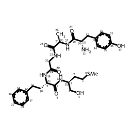 CSCC[C@@H](CO)NC(=O)[C@H](CCc1ccccc1)NC(=O)CNC(=O)[C@@H](C)NC(=O)[C@@H](N)Cc1ccc(O)cc1